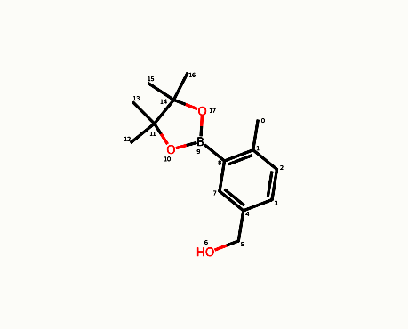 Cc1ccc(CO)cc1B1OC(C)(C)C(C)(C)O1